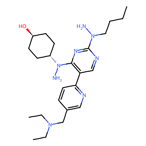 CCCCN(N)c1ncc(-c2ccc(CN(CC)CC)cn2)c(N(N)[C@H]2CC[C@H](O)CC2)n1